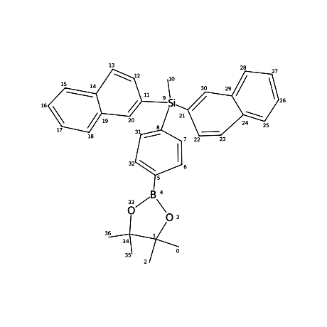 CC1(C)OB(c2ccc([Si](C)(c3ccc4ccccc4c3)c3ccc4ccccc4c3)cc2)OC1(C)C